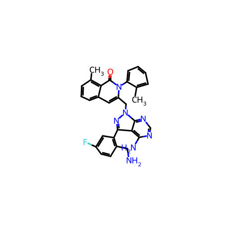 Cc1ccccc1-n1c(Cn2nc(-c3cc(F)ccc3CN)c3c(N)ncnc32)cc2cccc(C)c2c1=O